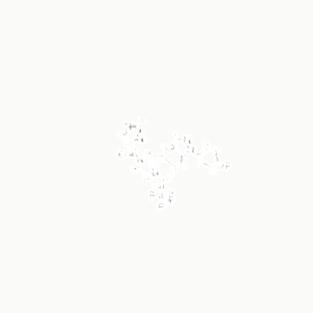 Cc1cc2c(cnn2-c2ccc(F)cc2)cc1C1CN([S+]([O-])c2cnn(C)n2)CCN1CC(C)(C)C(F)(F)F